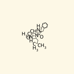 CC(C)CC1C[NH+]([O-])C(C)(C)CN1C(=O)[C@@H](N)Cc1ccccc1